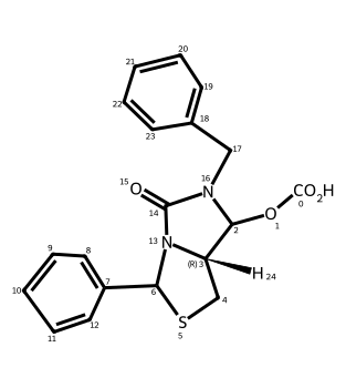 O=C(O)OC1[C@@H]2CSC(c3ccccc3)N2C(=O)N1Cc1ccccc1